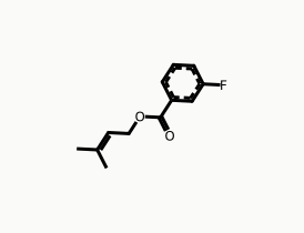 CC(C)=CCOC(=O)c1cccc(F)c1